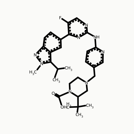 CC(C)c1c2cc(-c3nc(Nc4ccc(CN5CCN(C(=O)O)C(C(C)(C)C)C5)cn4)ncc3F)ccc2nn1C